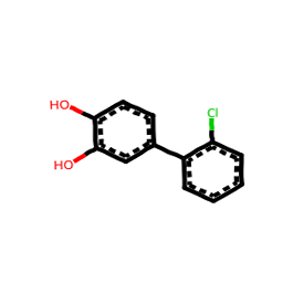 Oc1ccc(-c2ccccc2Cl)cc1O